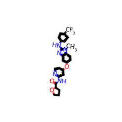 Cn1c(Nc2ccc(C(F)(F)F)cc2)nc2cc(Oc3ccnc(NC(=O)C4CCCO4)c3)ccc21